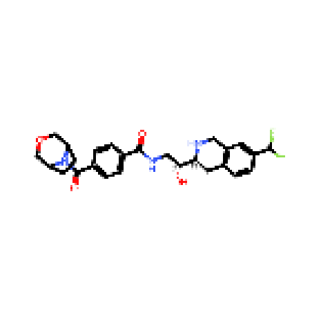 O=C(NC[C@@H](O)[C@@H]1Cc2ccc(C(F)F)cc2CN1)c1ccc(C(=O)N2C3CCC2COC3)cc1